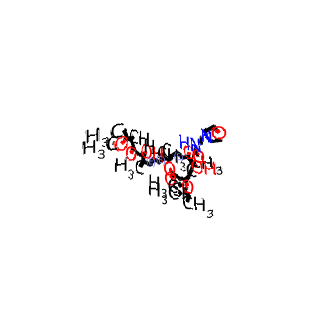 CCC(OC)C(C)C1OC1C(O)C(C)/C=C/C=C(\C)C1OC(=O)CC(O[Si](CC)(CC)CC)CCC(C)(O)C(OC(=O)NCCN2CCOCC2)/C=C/C1C